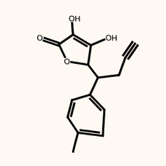 C#CCC(c1ccc(C)cc1)C1OC(=O)C(O)=C1O